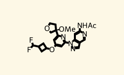 CO[C@]1(c2cc(OC3CC(C(F)F)C3)cc(-n3ncc4cnc(NC(C)=O)cc43)n2)CCOC1